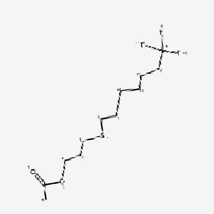 CC(=O)OCCCSCCCCCCC(F)(F)F